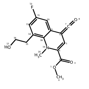 COC(=O)C1=CC(=C=O)c2cc(F)cc(CCO)c2N1C